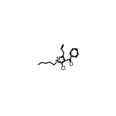 C=CCc1nn(CCCCC)c(Cl)c1C(=O)c1ccccc1